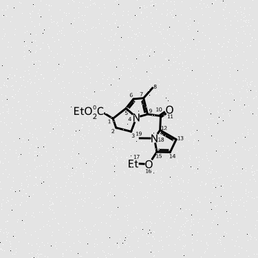 CCOC(=O)C1CCn2c1cc(C)c2C(=O)c1ccc(OCC)n1C